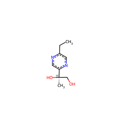 CCc1cnc([C@](C)(O)CO)cn1